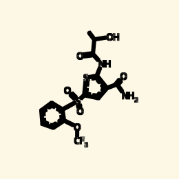 CC(O)C(=O)Nc1sc(S(=O)(=O)c2ccccc2OC(F)(F)F)cc1C(N)=O